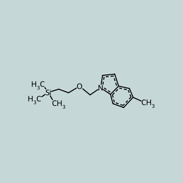 Cc1ccc2c(ccn2COCC[Si](C)(C)C)c1